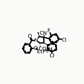 CCOc1ccccc1C(=O)N1[C@@H](C)[C@](C#N)(c2ccc(Cl)cc2F)[C@@H](c2cccc(Cl)c2F)[C@@H]1C(=O)O